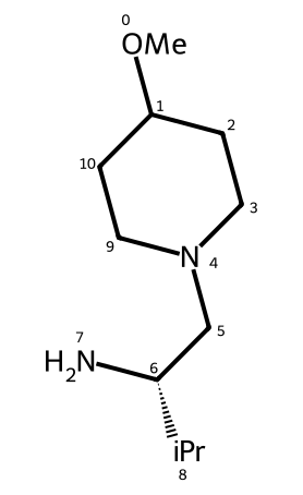 COC1CCN(C[C@@H](N)C(C)C)CC1